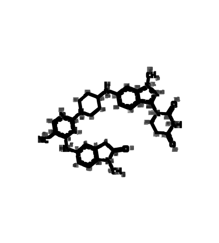 CN1C(=O)Cc2cc(Nc3nc(N4CCC(Nc5ccc6c(N7CCC(=O)NC7=O)nn(C)c6c5)CC4)ncc3C#N)ccc21